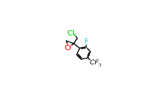 Fc1cc(C(F)(F)F)ccc1C1(CCl)CO1